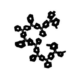 Cc1cccc(N(c2ccc(N(c3ccccc3)c3ccc(N(c4ccccc4)c4ccc(N(c5ccccc5)c5ccc(N(c6ccccc6)c6ccc(N(c7ccccc7)c7ccc(N(c8ccccc8)c8ccc(N(c9ccccc9)c9ccc(N(c%10cccc(C)c%10)c%10cccc(C)c%10)cc9)cc8)cc7)cc6)cc5)cc4)cc3)cc2)c2cccc(C)c2)c1